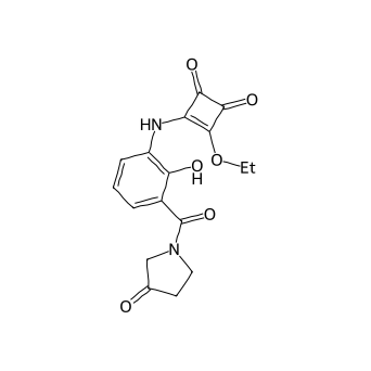 CCOc1c(Nc2cccc(C(=O)N3CCC(=O)C3)c2O)c(=O)c1=O